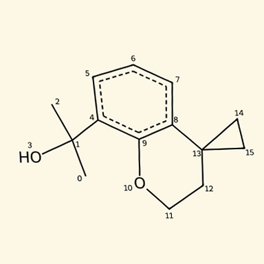 CC(C)(O)c1cccc2c1OCCC21CC1